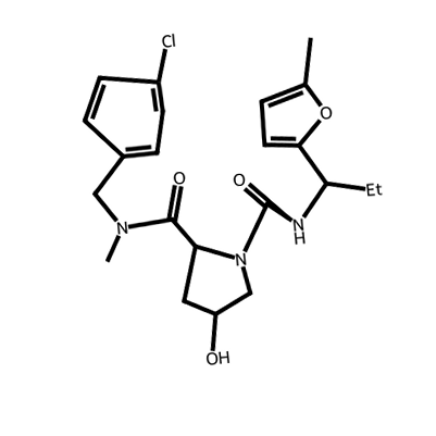 CCC(NC(=O)N1CC(O)CC1C(=O)N(C)Cc1ccc(Cl)cc1)c1ccc(C)o1